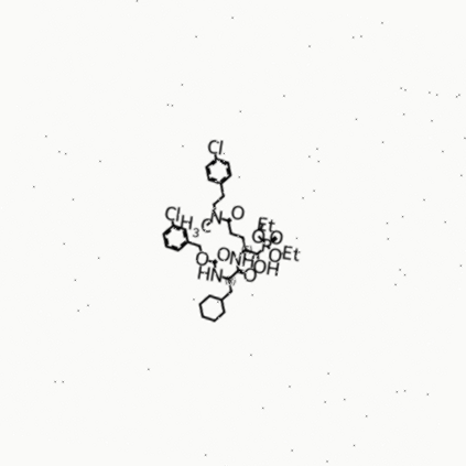 CCOP(=O)(OCC)C(O)[C@H](CCC(=O)N(C)CCc1ccc(Cl)cc1)NC(=O)[C@@H](CC1CCCCC1)NC(=O)OCc1cccc(Cl)c1